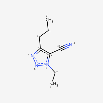 CCCc1nnn(CC)c1C#N